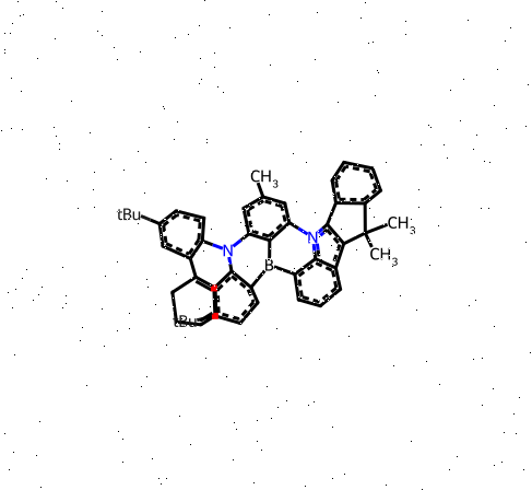 Cc1cc2c3c(c1)-n1c4c(c5cccc(c51)B3c1ccc(C(C)(C)C)cc1N2c1ccc(C(C)(C)C)cc1C1=CC=CCC1)C(C)(C)c1ccccc1-4